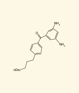 CCCCCCCCCCCCCc1ccc(C(=O)c2cc(N)cc(N)c2)cc1